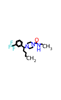 C=CCCC(c1cccc(C(F)(F)F)c1)N1CCN(C(=O)NCC)CC1